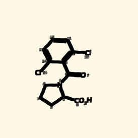 O=C(O)C1CCCN1C(=O)c1c(Cl)cccc1Cl